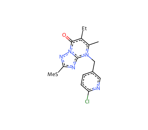 CCc1c(C)n(Cc2ccc(Cl)nc2)c2nc(SC)nn2c1=O